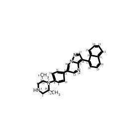 C[C@@H]1CNC[C@H](C)N1c1ccc(-c2cnc3c(-c4cccc5ccccc45)cnn3c2)cc1